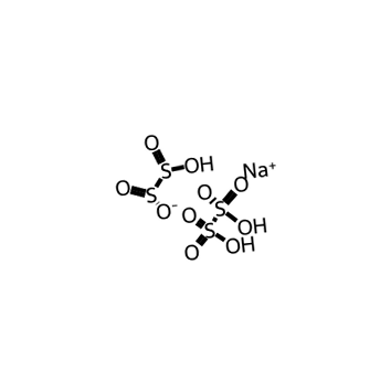 O=S(=O)(O)S(=O)(=O)O.O=S([O-])S(=O)O.[Na+]